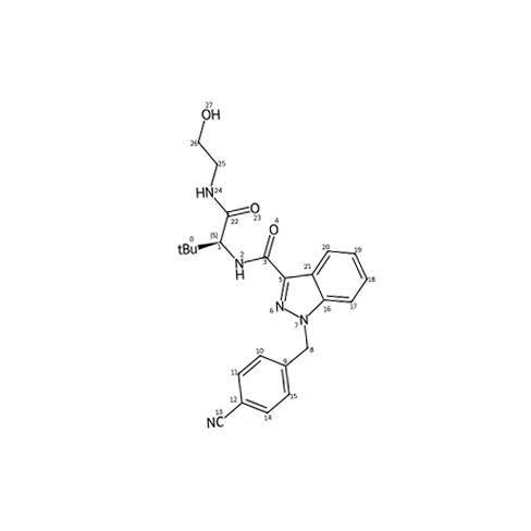 CC(C)(C)[C@H](NC(=O)c1nn(Cc2ccc(C#N)cc2)c2ccccc12)C(=O)NCCO